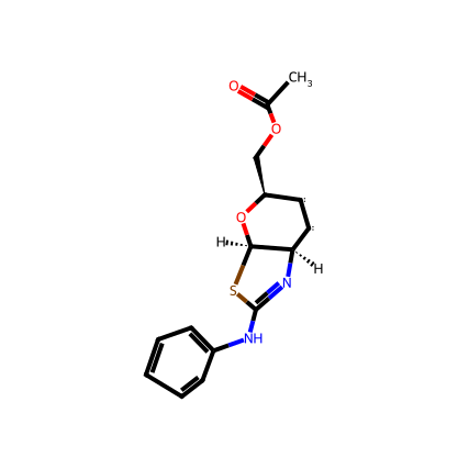 CC(=O)OC[C@H]1[C][C][C@H]2N=C(Nc3ccccc3)S[C@H]2O1